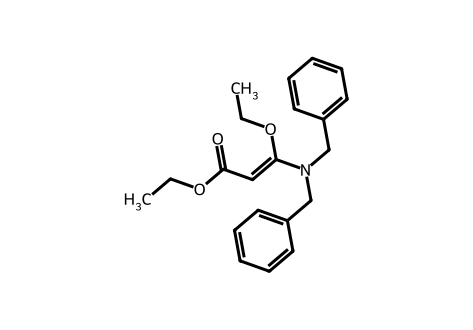 CCOC(=O)C=C(OCC)N(Cc1ccccc1)Cc1ccccc1